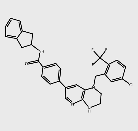 O=C(NC1Cc2ccccc2C1)c1ccc(-c2cnc3c(c2)N(Cc2cc(Cl)ccc2C(F)(F)F)CCN3)cc1